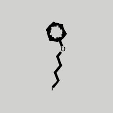 ICCCCOc1ccccc1